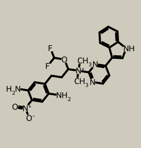 C[N+](C)(c1nccc(-c2c[nH]c3ccccc23)n1)C(CCc1cc(N)c([N+](=O)[O-])cc1N)OC(F)F